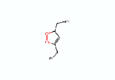 CC(C)CC1=CC(CC(C)C)OO1